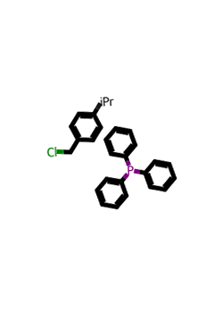 CC(C)c1ccc(CCl)cc1.c1ccc(P(c2ccccc2)c2ccccc2)cc1